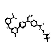 Cc1cc(Nc2cc(C(F)F)ccn2)nc(-c2ccc(C(CO)C3CCC(C(=O)OCOC(=O)C(C)(C)C)CC3)nc2)c1